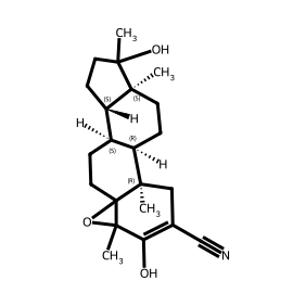 CC12OC13CC[C@@H]1[C@@H](CC[C@@]4(C)[C@H]1CCC4(C)O)[C@@]3(C)CC(C#N)=C2O